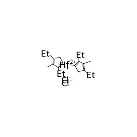 CCC1=C(C)C(CC)=[C]([Hf+2][C]2=C(CC)C(C)=C(CC)C2)C1.[Cl-].[Cl-]